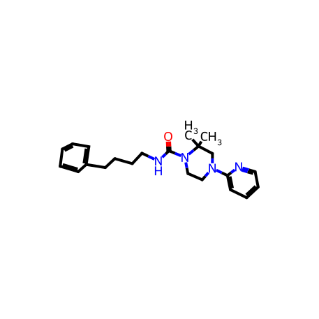 CC1(C)CN(c2ccccn2)CCN1C(=O)NCCCCc1ccccc1